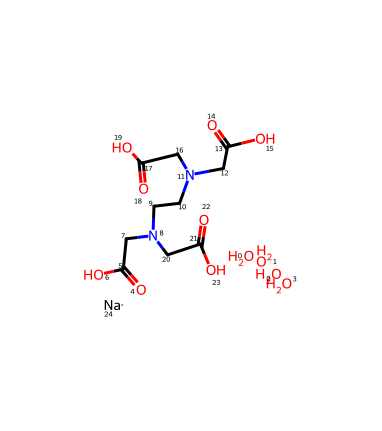 O.O.O.O.O=C(O)CN(CCN(CC(=O)O)CC(=O)O)CC(=O)O.[Na]